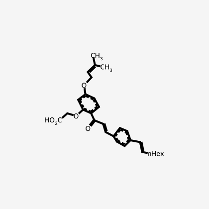 CCCCCC/C=C/c1ccc(/C=C/C(=O)c2ccc(OCC=C(C)C)cc2OCC(=O)O)cc1